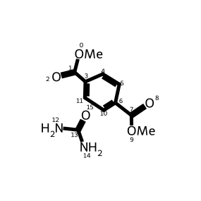 COC(=O)c1ccc(C(=O)OC)cc1.NC(N)=O